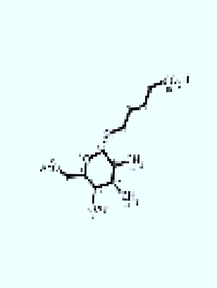 CC(=O)OCC1O[C@H](SCCCCC(=O)O)C(C)[C@@H](C)[C@H]1OC(C)=O